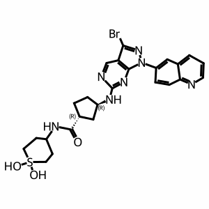 O=C(NC1CCS(O)(O)CC1)[C@@H]1CC[C@@H](Nc2ncc3c(Br)nn(-c4ccc5ncccc5c4)c3n2)C1